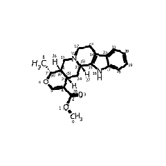 COC(=O)C1=CO[C@H](C)[C@@H]2CN3CCc4c([nH]c5ccccc45)[C@@H]3C[C@H]12